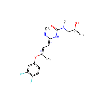 C=N/C(=C\C=C(/C)Oc1ccc(F)c(F)c1)NC(=O)N(CC)C[C@H](C)O